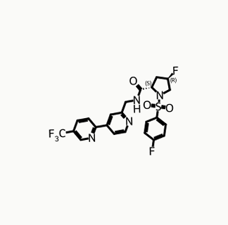 O=C(NCc1cc(-c2ccc(C(F)(F)F)cn2)ccn1)[C@@H]1C[C@@H](F)CN1S(=O)(=O)c1ccc(F)cc1